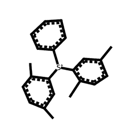 Cc1ccc(C)c([S+](c2ccccc2)c2cc(C)ccc2C)c1